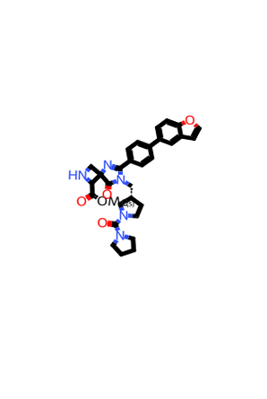 COC(=O)C1NCC12N=C(c1ccc(-c3ccc4occc4c3)cc1)N(C[C@@H]1CCN(C(=O)N3CCCC3)C1)C2=O